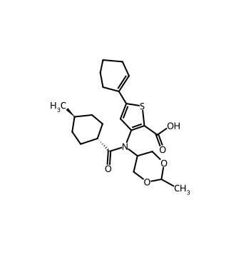 CC1OCC(N(c2cc(C3=CCCCC3)sc2C(=O)O)C(=O)[C@H]2CC[C@H](C)CC2)CO1